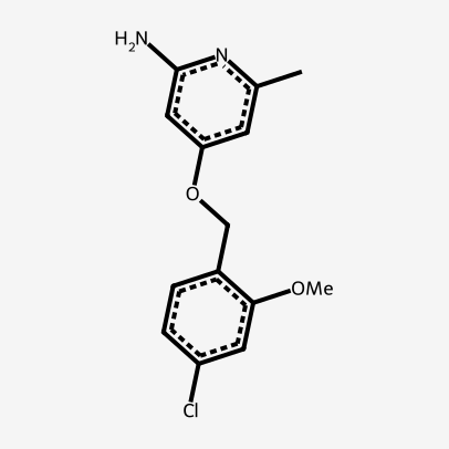 COc1cc(Cl)ccc1COc1cc(C)nc(N)c1